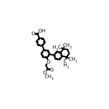 COC(=O)COc1ccc(-c2ccc(C(=O)O)cc2)cc1-c1ccc2c(c1)C(C)(C)CCC2(C)C